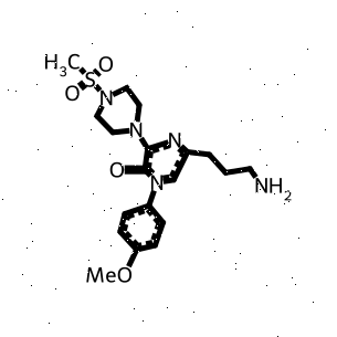 COc1ccc(-n2cc(CCCN)nc(N3CCN(S(C)(=O)=O)CC3)c2=O)cc1